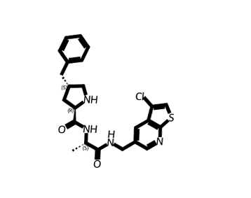 C[C@H](NC(=O)[C@H]1C[C@H](Cc2ccccc2)CN1)C(=O)NCc1cnc2scc(Cl)c2c1